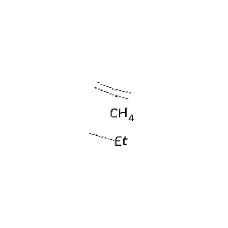 C.C=C.CCC